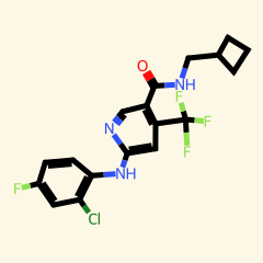 O=C(NCC1CCC1)c1cnc(Nc2ccc(F)cc2Cl)cc1C(F)(F)F